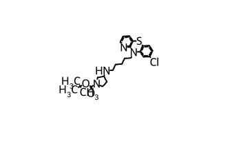 CC(C)(C)OC(=O)N1CCC(NCCCCCN2c3cc(Cl)ccc3Sc3cccnc32)C1